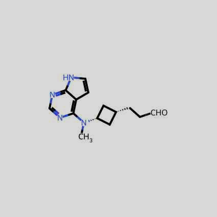 CN(c1ncnc2[nH]ccc12)[C@H]1C[C@@H](CCC=O)C1